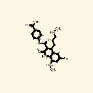 CNCCCc1c(C(=O)Nc2ccc(C(=O)O)cc2)c(=O)[nH]c2c(NC)cc(F)cc12